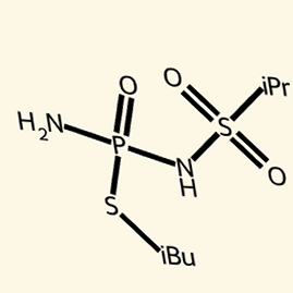 CCC(C)SP(N)(=O)NS(=O)(=O)C(C)C